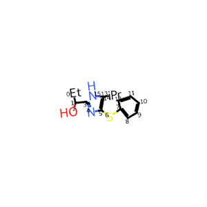 CCC(O)c1nc(Sc2ccccc2)c(C(C)C)[nH]1